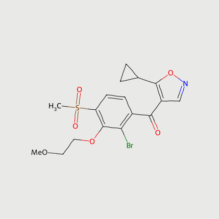 COCCOc1c(S(C)(=O)=O)ccc(C(=O)c2cnoc2C2CC2)c1Br